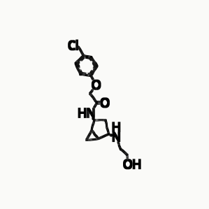 O=C(COc1ccc(Cl)cc1)N[C@H]1C[C@@H](NCCO)C2CC21